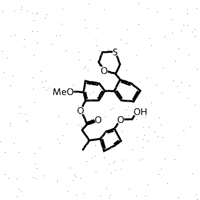 COc1ccc(-c2ccccc2C2CSCCO2)cc1OC(=O)CC(C)c1cccc(OCO)c1